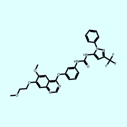 COCCOc1cc2ncnc(Oc3cccc(NC(=O)Nc4cc(C(F)(F)F)nn4-c4ccccc4)c3)c2cc1OC